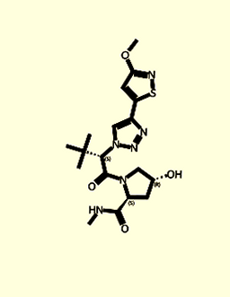 CNC(=O)[C@@H]1C[C@@H](O)CN1C(=O)[C@@H](n1cc(-c2cc(OC)ns2)nn1)C(C)(C)C